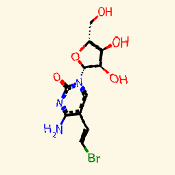 Nc1nc(=O)n([C@@H]2O[C@H](CO)[C@@H](O)[C@H]2O)cc1C=CBr